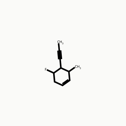 CC#CC1C(C)C=CCC1F